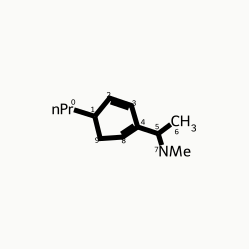 CCCC1C=CC(C(C)NC)=CC1